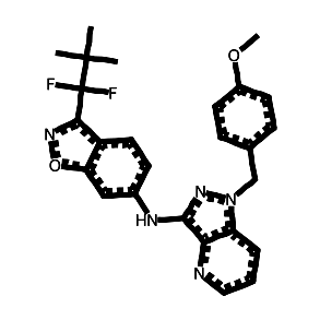 COc1ccc(Cn2nc(Nc3ccc4c(C(F)(F)C(C)(C)C)noc4c3)c3ncccc32)cc1